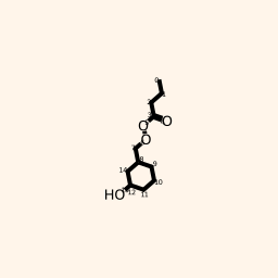 CCCC(=O)OOCC1CCCC(O)C1